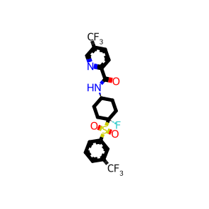 O=C(N[C@H]1CC[C@](F)(S(=O)(=O)c2cccc(C(F)(F)F)c2)CC1)c1ccc(C(F)(F)F)cn1